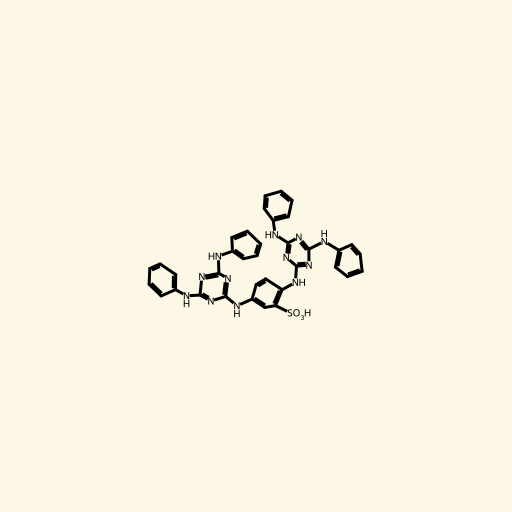 O=S(=O)(O)c1cc(Nc2nc(Nc3ccccc3)nc(Nc3ccccc3)n2)ccc1Nc1nc(Nc2ccccc2)nc(Nc2ccccc2)n1